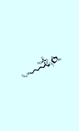 C=CC(CCCCCNC=O)P(=O)(O)O.c1c[nH]cn1